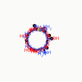 CC(C)[C@@H]1NC(=O)[C@H](CC(=O)O)NC(=O)[C@H](C)N(C)C(=O)[C@@H]2CCCN2C(=O)[C@H](CC(=O)O)NC(=O)CNC(=O)[C@H](CO)N(C)C(=O)C(Cc2c[nH]c3ccccc23)NC(=O)CSC[C@@H](C(=O)NCC(N)=O)NC(=O)[C@@H]2CCCN2C(=O)[C@H](Cc2ccccc2)N(C)C(=O)[C@H](CCc2ccc(O)cc2)NC(=O)CN(C)C(=O)[C@H](Cc2ccccc2)N(C)C(=O)[C@H](CCCNC(=N)N)NC(=O)CNC(=O)[C@H](CO)N(C)C1=O